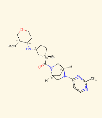 CC[C@]1(C(=O)N2C[C@@H]3C[C@H]2CN3c2ccnc(C(F)(F)F)n2)CC[C@@H](N[C@H]2CCOC[C@H]2OC)C1